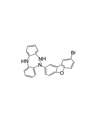 Brc1ccc2oc3ccc(-n4[nH]c5ccccc5[nH]c5ccccc54)cc3c2c1